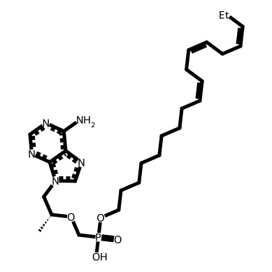 CC/C=C\C/C=C\C/C=C\CCCCCCCCOP(=O)(O)CO[C@H](C)Cn1cnc2c(N)ncnc21